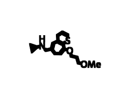 COCCCOC1=CCC(CNC2CC2)=CC2=C1SC=CC2